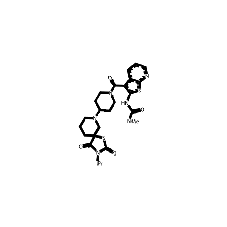 CNC(=O)Nc1sc2ncccc2c1C(=O)N1CCC(N2CCCC3(C2)SC(=O)N(C(C)C)C3=O)CC1